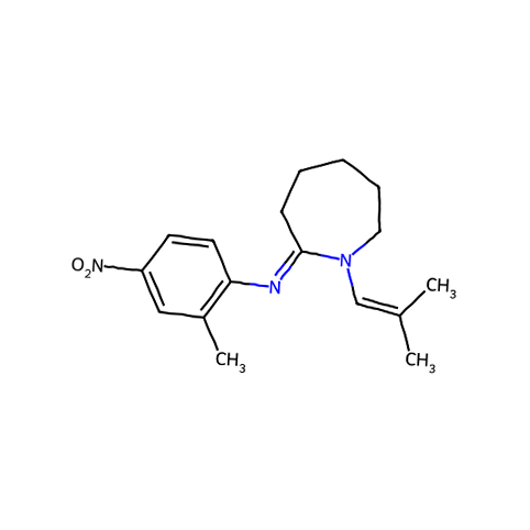 CC(C)=CN1CCCCCC1=Nc1ccc([N+](=O)[O-])cc1C